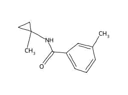 Cc1cccc(C(=O)NC2(C)CC2)c1